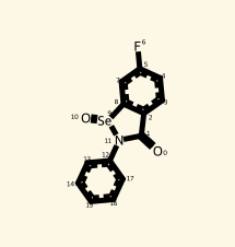 O=C1c2ccc(F)cc2[Se](=O)N1c1ccccc1